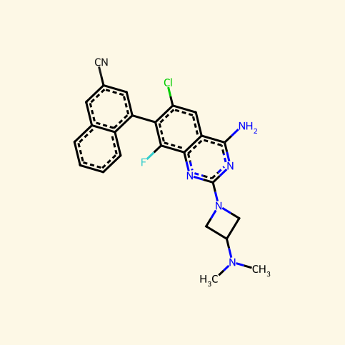 CN(C)C1CN(c2nc(N)c3cc(Cl)c(-c4cc(C#N)cc5ccccc45)c(F)c3n2)C1